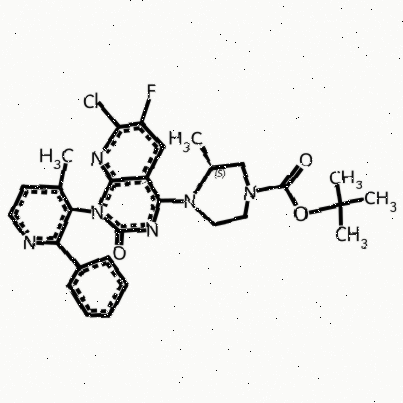 Cc1ccnc(-c2ccccc2)c1-n1c(=O)nc(N2CCN(C(=O)OC(C)(C)C)C[C@@H]2C)c2cc(F)c(Cl)nc21